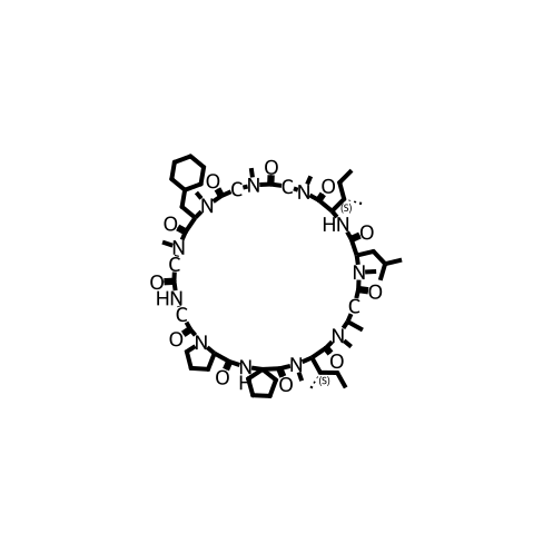 CC[C@H](C)C1NC(=O)C(CC(C)C)N(C)C(=O)CC(C)N(C)C(=O)C([C@@H](C)CC)N(C)C(=O)C2(CCCC2)NC(=O)C2CCCN2C(=O)CNC(=O)CN(C)C(=O)C(CC2CCCCC2)N(C)C(=O)CN(C)C(=O)CN(C)C1=O